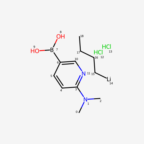 CN(C)c1ccc(B(O)O)cn1.Cl.Cl.[Li][CH2]CCC